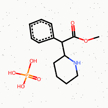 COC(=O)C(c1ccccc1)C1CCCCN1.O=P(O)(O)O